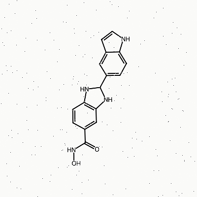 O=C(NO)c1ccc2c(c1)NC(c1ccc3[nH]ccc3c1)N2